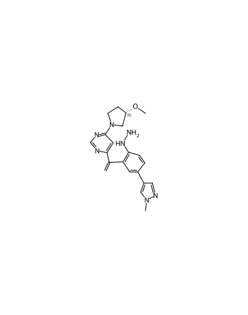 C=C(c1cc(N2CC[C@H](OC)C2)ncn1)c1cc(-c2cnn(C)c2)ccc1NN